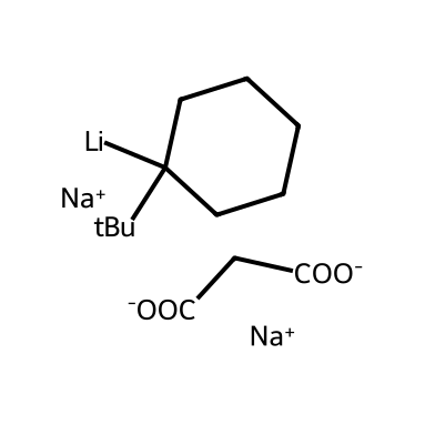 O=C([O-])CC(=O)[O-].[Li][C]1(C(C)(C)C)CCCCC1.[Na+].[Na+]